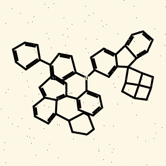 c1ccc(-c2ccc(N(c3ccc4c(c3)C3(c5ccccc5-4)C4CC5CC6CC3C564)c3ccccc3-c3cccc4cccc(C5CCCCC5)c34)cc2)cc1